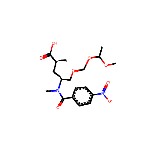 COC(C)OCOC[C@H](C[C@H](C)C(=O)O)N(C)C(=O)c1ccc([N+](=O)[O-])cc1